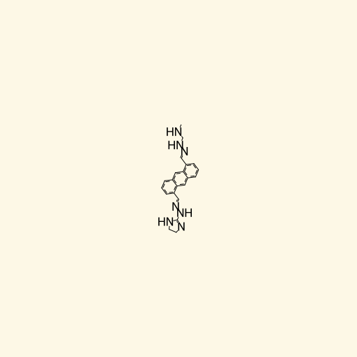 CNCN/N=C/c1cccc2cc3c(/C=N/NC4=NCCN4)cccc3cc12